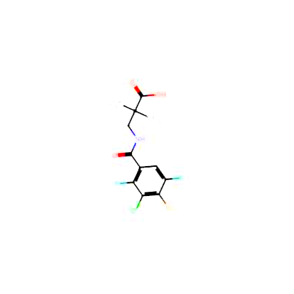 CC(C)(CNC(=O)c1cc(F)c(Br)c(Cl)c1F)C(=O)O